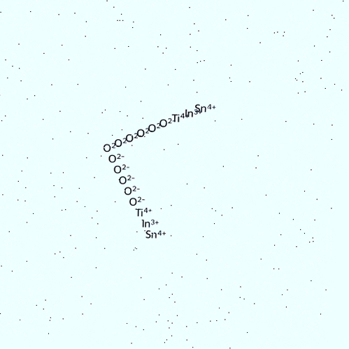 [In+3].[In+3].[O-2].[O-2].[O-2].[O-2].[O-2].[O-2].[O-2].[O-2].[O-2].[O-2].[O-2].[Sn+4].[Sn+4].[Ti+4].[Ti+4]